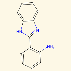 Nc1ccc[c]c1-c1nc2ccccc2[nH]1